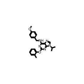 COc1ccc(CNc2nc(Oc3ccccc3C)nc3c2ncn3C(C)C)cc1